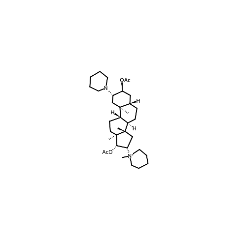 CC(=O)O[C@H]1C[C@@H]2CC[C@@H]3[C@H](CC[C@]4(C)[C@@H](OC(C)=O)[C@@H]([N+]5(C)CCCCC5)C[C@@]34C)[C@@]2(C)C[C@@H]1N1CCCCC1